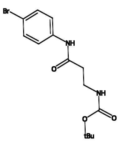 CC(C)(C)OC(=O)NCCC(=O)Nc1ccc(Br)cc1